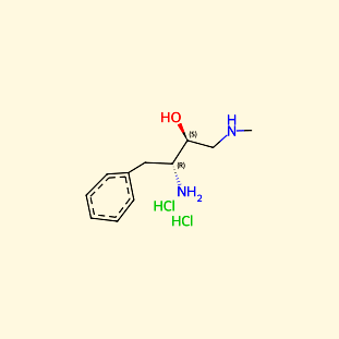 CNC[C@H](O)[C@H](N)Cc1ccccc1.Cl.Cl